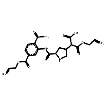 C=CCOC(=O)c1ccc(C(N)=O)c(NC(=O)C2CC(C(C(=O)OCC=C)C(O)=S)CN2)c1